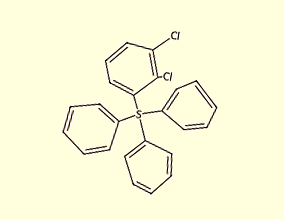 Clc1cccc(S(c2ccccc2)(c2ccccc2)c2ccccc2)c1Cl